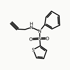 C#CCNN(c1ccccc1)S(=O)(=O)c1cccs1